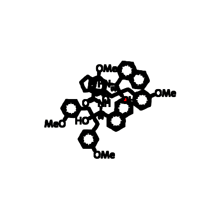 COc1cccc(CC(O)(Cc2cccc(OC)c2)[C@@H](NC(=O)C2(C(=O)N[C@@H](c3cccc4ccccc34)C(O)(Cc3cccc(OC)c3)Cc3cccc(OC)c3)CCCC2)c2cccc3ccccc23)c1